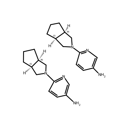 Nc1ccc(N2C[C@H]3CCC[C@H]3C2)nc1.Nc1ccc(N2C[C@H]3CCC[C@H]3C2)nc1